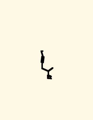 [CH2]C#CCC(C)CC